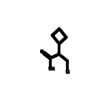 O=C(O)N(CCl)C1CCC1